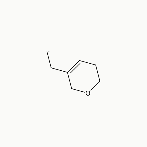 [CH2]CC1=CCCOC1